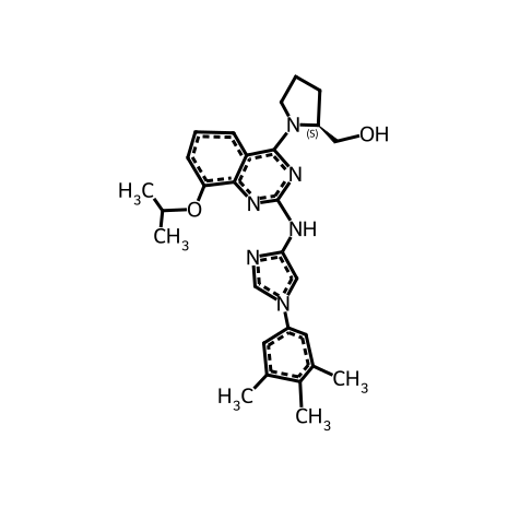 Cc1cc(-n2cnc(Nc3nc(N4CCC[C@H]4CO)c4cccc(OC(C)C)c4n3)c2)cc(C)c1C